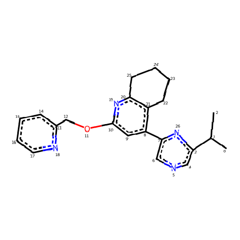 CC(C)c1cncc(-c2cc(OCc3ccccn3)nc3c2CCCC3)n1